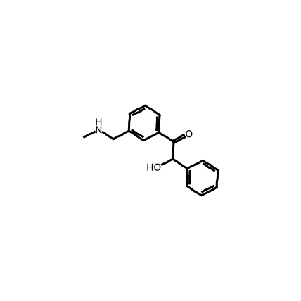 CNCc1cccc(C(=O)C(O)c2ccccc2)c1